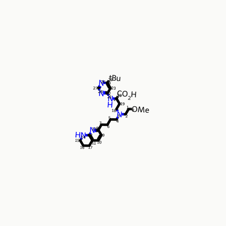 COCCN(CCCCc1ccc2c(n1)NCCC2)CCC(Nc1cc(C(C)(C)C)ncn1)C(=O)O